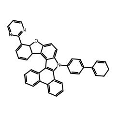 C1=CC2c3c(ccc4c3c3c5ccccc5c5ccccc5c3n4-c3ccc(C4=CCCC=C4)cc3)OC2C(c2ncccn2)=C1